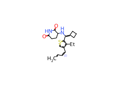 C=C/C=C\c1csc(C(NC2CCC(=O)NC2=O)=C2CCC2)c1CC